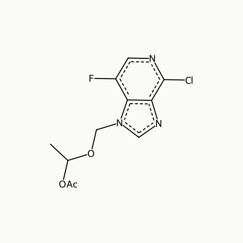 CC(=O)OC(C)OCn1cnc2c(Cl)ncc(F)c21